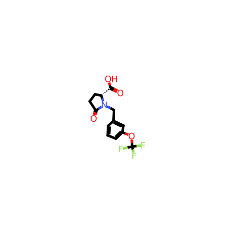 O=C(O)[C@H]1CCC(=O)N1Cc1cccc(OC(F)(F)F)c1